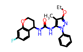 CCOc1nn(-c2ccccc2)c(NC(=O)NC2CCOc3cc(F)ccc32)c1C